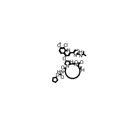 COc1ccc2c(O[C@@H]3C[C@H]4C5=N[C@@]6(C[C@H]6CCCCCCC[C@H](NC(=O)OC6CCCC6)C(=O)N4C3)C(=O)O5)cc(-c3csc(NC(C)C)n3)nc2c1Cl